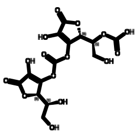 O=C(O)O[C@@H](CO)[C@H]1OC(=O)C(O)=C1OC(=O)OC1=C(O)C(=O)O[C@@H]1[C@@H](O)CO